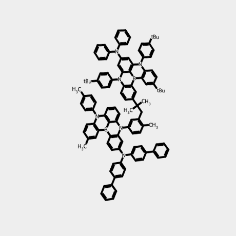 Cc1ccc(N2c3ccc(C)cc3B3c4ccc(N(c5ccc(-c6ccccc6)cc5)c5ccc(-c6ccccc6)cc5)cc4N(c4ccc(C)c(CC(C)(C)c5ccc6c(c5)B5c7cc(C(C)(C)C)ccc7N(c7ccc(C(C)(C)C)cc7)c7cc(N(c8ccccc8)c8ccccc8)cc(c75)N6c5ccc(C(C)(C)C)cc5)c4)c4cccc2c43)cc1